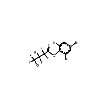 O=C(Oc1c(Br)cc(Br)cc1Br)C(F)(F)C(F)(Br)C(F)(F)Cl